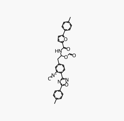 [C-]#[N+]c1cc(CC(NC(=O)c2ccc(-c3ccc(C)cc3)o2)OC=O)ccc1-c1noc(-c2ccc(C)cc2)n1